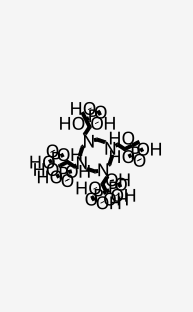 CC(O)(CCN1CCN(CCC(C)(O)P(=O)(O)O)CCN(CCC(O)(P(=O)(O)O)P(=O)(O)O)CCN(CCC(O)(P(=O)(O)O)P(=O)(O)O)CC1)P(=O)(O)O